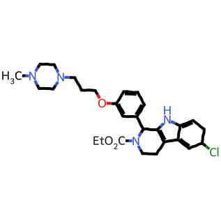 CCOC(=O)N1CCc2c([nH]c3c2=CC(Cl)CC=3)C1c1cccc(OCCCN2CCN(C)CC2)c1